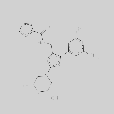 Cc1cc(-c2sc(N3C[C@@H](C)O[C@@H](C)C3)nc2CNC(=O)c2ccoc2)cc(C)n1